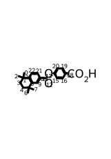 CC1(C)CCC(C)(C)c2cc(C(=O)Oc3ccc(C(=O)O)cc3)ccc21